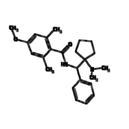 COc1cc(C)c(C(=O)NC(c2ccccc2)C2(N(C)C)CCCC2)c(C)c1